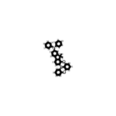 CC1(C)c2cc(N(c3ccccc3)c3ccccc3)ccc2-c2ccc3c(c21)Oc1cccc2c1B3c1ccccc1O2